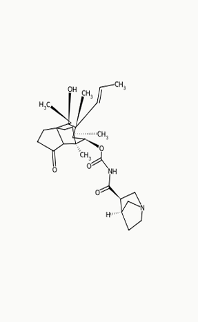 C/C=C/[C@]1(C)C[C@@H](OC(=O)NC(=O)[C@H]2CN3CC[C@@H]2C3)[C@@]2(C)C3C(=O)CCC3(CC[C@H]2C)[C@@H](C)[C@@H]1O